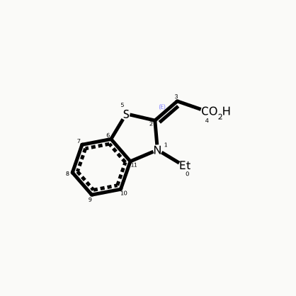 CCN1/C(=C\C(=O)O)Sc2ccccc21